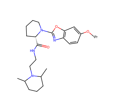 CC(C)Oc1ccc2nc(N3CCCC[C@H]3C(=O)NCCN3C(C)CCCC3C)oc2c1